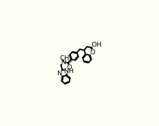 CN(Cc1nc2ccccc2[nH]1)C(=O)c1ccc(CC(CC(=O)O)c2ccccc2)cc1